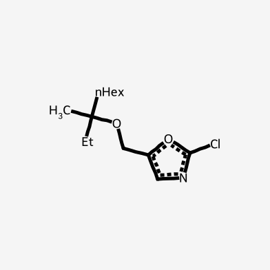 CCCCCCC(C)(CC)OCc1cnc(Cl)o1